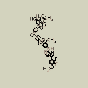 CCc1cc(Nc2nccn3c(-c4ccc(OC)c(F)c4F)cnc23)ccc1S(=O)(=O)N1CCN(C(=O)[C@@H]2CCN(C(=O)[C@@H]3C[C@@H](O)CN3C(=O)OC(C)(C)C)C2)CC1